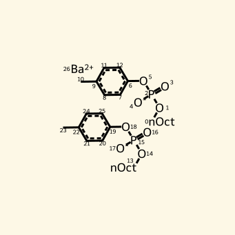 CCCCCCCCOP(=O)([O-])Oc1ccc(C)cc1.CCCCCCCCOP(=O)([O-])Oc1ccc(C)cc1.[Ba+2]